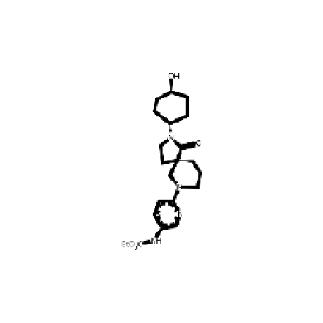 CCOC(=O)Nc1ccc(N2CCC[C@]3(CCN([C@H]4CC[C@H](O)CC4)C3=O)C2)nc1